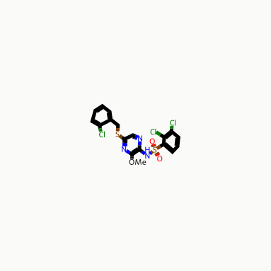 COc1nc(SCc2ccccc2Cl)cnc1NS(=O)(=O)c1cccc(Cl)c1Cl